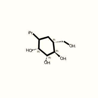 CC(C)C1C[C@H](CO)[C@@H](O)[C@H](O)[C@@H]1O